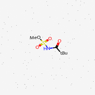 COS(=O)(=O)NC(=O)C(C)(C)C